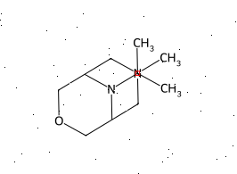 CC(C)N1C2COCC1CN(C)C2